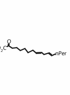 CCCCCC=CCC=CCCCCCCC(=O)C(=O)O